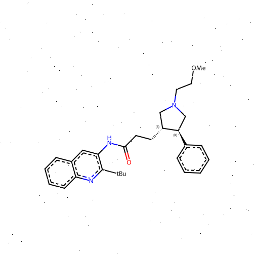 COCCN1C[C@@H](CCC(=O)Nc2cc3ccccc3nc2C(C)(C)C)[C@H](c2ccccc2)C1